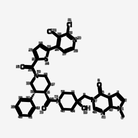 Cn1ccc2c(=O)n(CC3(O)CCN(C(=O)[C@@H]4CCN(C(=O)c5ccc(-c6ccnc(Cl)c6Cl)s5)C[C@H]4c4ccccc4)CC3)cnc21